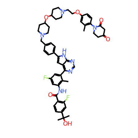 Cc1cc(OCCN2CCC(OC3CCN(Cc4ccc(-c5cc6c(-c7cc(F)cc(NC(=O)c8ccc(C(C)(C)O)cc8F)c7C)ncnc6[nH]5)cc4)CC3)CC2)ccc1N1CCC(=O)CC1=O